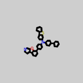 c1ccc(-c2ccc(N(c3ccc(-c4cccc5c4oc4cnccc45)cc3)c3ccc4c(c3)sc3ccccc34)cc2)cc1